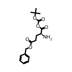 CC(C)(C)OC(=O)OC(=O)[C@@H](N)CCC(=O)OCc1ccccc1